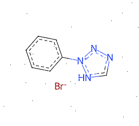 [Br-].c1ccc(-[n+]2nnc[nH]2)cc1